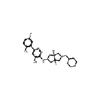 Cc1ccc(F)cc1-c1cc(C#N)c(NC2C[C@@H]3CN(CC4CCOCC4)C[C@@H]3C2)nn1